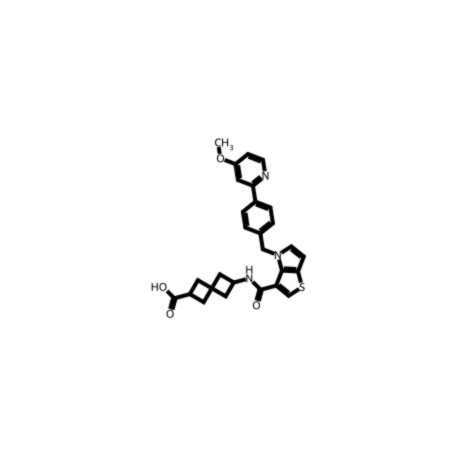 COc1ccnc(-c2ccc(Cn3ccc4scc(C(=O)NC5CC6(C5)CC(C(=O)O)C6)c43)cc2)c1